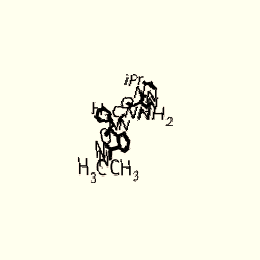 Cc1c(-c2cccc3nc(C(C)NC(=O)c4c(N)nn5ccc(C(C)C)nc45)n(-c4ccccc4)c(=O)c23)cnn1C